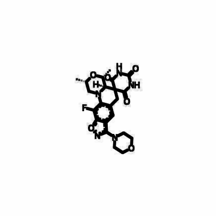 C[C@H]1CN2c3c(cc4c(N5CCOCC5)noc4c3F)CC3(C(=O)NC(=O)NC3=O)[C@@H]2[C@@H](C)O1